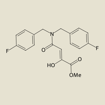 COC(=O)/C(O)=C/C(=O)N(Cc1ccc(F)cc1)Cc1ccc(F)cc1